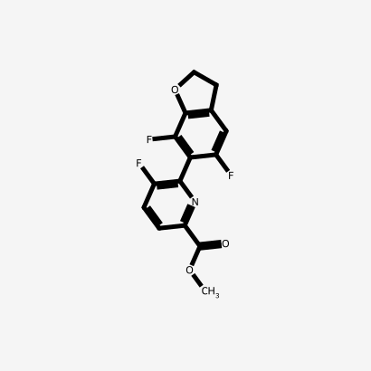 COC(=O)c1ccc(F)c(-c2c(F)cc3c(c2F)OCC3)n1